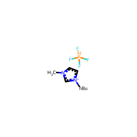 CCCC[n+]1ccn(C)c1.F[PH-](F)(F)F